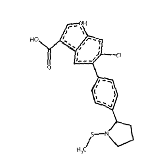 CSN1CCCC1c1ccc(-c2cc3c(C(=O)O)c[nH]c3cc2Cl)cc1